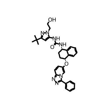 CC(C)(C)c1cc(NC(=O)N[C@H]2CC[C@@H](Oc3ccc4nnc(-c5ccccc5)n4c3)c3ccccc32)n(CCO)n1